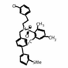 CSc1cccc(-c2ccc(CN(CCc3cccc(Cl)c3)S(=O)(=O)c3c(C)cc(C)cc3C)cc2)c1